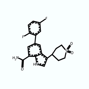 NC(=O)c1cc(-c2cc(F)ccc2F)cc2c(C3CCS(=O)(=O)CC3)c[nH]c12